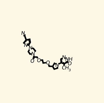 Cc1c(N2CCC(COCCOCC(=O)N3CCN(c4ccc(C#N)cn4)CC3)C2)cn[nH]c1=O